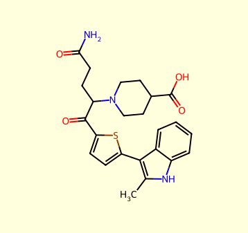 Cc1[nH]c2ccccc2c1-c1ccc(C(=O)C(CCC(N)=O)N2CCC(C(=O)O)CC2)s1